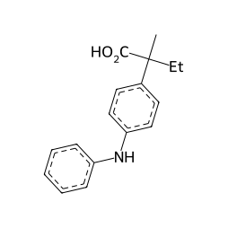 CCC(C)(C(=O)O)c1ccc(Nc2ccccc2)cc1